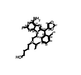 CC(C)N(CCCCO)CCn1c(C(C2=COCO2)c2ccccc2I)nc2c(N)nc(F)nc21